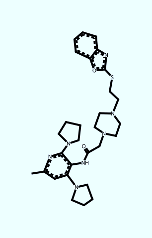 Cc1cc(N2CCCC2)c(NC(=O)CN2CCN(CCSc3nc4ccccc4o3)CC2)c(N2CCCC2)n1